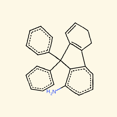 Nc1cccc2c1C(c1ccccc1)(c1ccccc1)C1=C2CCC=C1